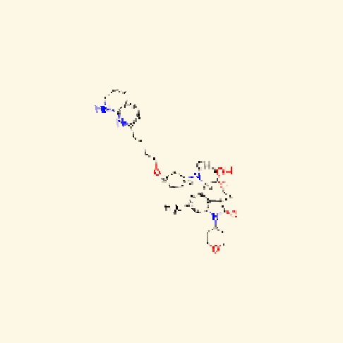 Cc1cc([C@@H](C(=O)O)N(C)[C@H]2CC[C@H](OCCCCc3ccc4c(n3)NCCC4)C2)c2c(c1)N(C1CCOCC1)C(=O)C21CC1